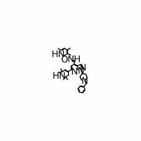 Cc1cc(C)c(CNCc2cc(C3=CC(C)(C)NC(C)(C)C3)nc3c2cnn3C2CCN(Cc3ccccc3)CC2)c(=O)[nH]1